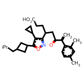 C=C(C(=O)CC(CCC(=O)O)c1noc(C2CC(CC(C)C)C2)c1C1CC1)c1ccc(C)cc1C